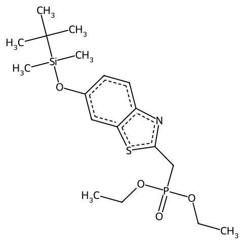 CCOP(=O)(Cc1nc2ccc(O[Si](C)(C)C(C)(C)C)cc2s1)OCC